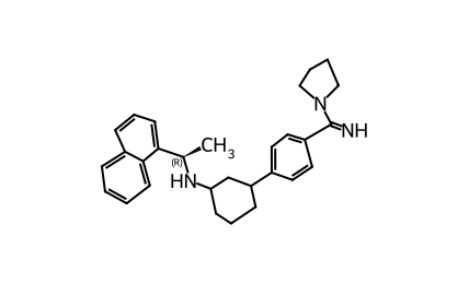 C[C@@H](NC1CCCC(c2ccc(C(=N)N3CCCC3)cc2)C1)c1cccc2ccccc12